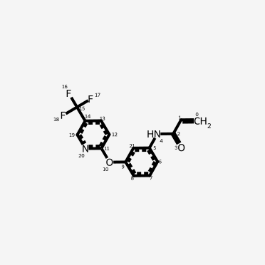 C=CC(=O)Nc1cccc(Oc2ccc(C(F)(F)F)cn2)c1